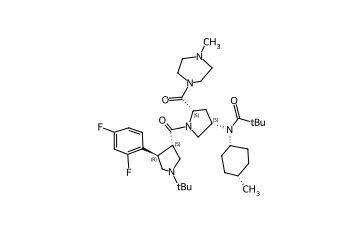 CN1CCN(C(=O)[C@@H]2C[C@H](N(C(=O)C(C)(C)C)[C@H]3CC[C@@H](C)CC3)CN2C(=O)[C@@H]2CN(C(C)(C)C)C[C@H]2c2ccc(F)cc2F)CC1